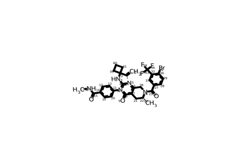 C=CC1(Nc2nc3c(c(=O)n2-c2ccc(C(=O)NC)cc2)C[C@@H](C)N(C(=O)c2ccc(Br)c(C(F)(F)F)c2)C3)CCC1